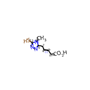 Cn1c(S)nnc1C/C=C/CC(=O)O